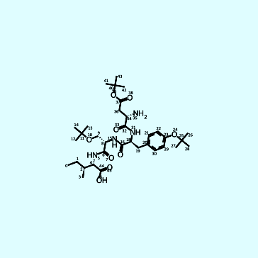 CC[C@H](C)[C@H](NC(=O)[C@H](COC(C)(C)C)NC(=O)[C@H](Cc1ccc(OC(C)(C)C)cc1)NC(=O)[C@@H](N)CC(=O)OC(C)(C)C)C(=O)O